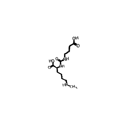 CNCCCCC(NC(=O)NCCCC(=O)O)C(=O)O